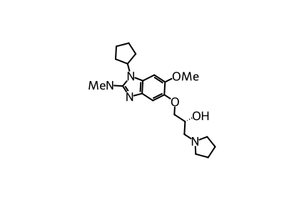 CNc1nc2cc(OC[C@H](O)CN3CCCC3)c(OC)cc2n1C1CCCC1